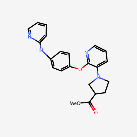 COC(=O)C1CCN(c2cccnc2Oc2ccc(Nc3ccccn3)cc2)C1